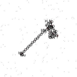 CC[C@@]1(O)C(=O)OCc2c1cc1n(c2=O)Cc2c-1nc1cc(F)c(C)c3c1c2[C@@H](NC(=O)OCc1ccc(NC(=O)[C@H](CCCNC(N)=O)NC(=O)[C@@H](NC(=O)[C@H](CCCCNC(=O)CCOCCOCCOCCOCCOCCOCCOCCOCCOCCOCCOCCOCCNC(=O)OC(C)(C)C)NC(=O)OCC2c4ccccc4-c4ccccc42)C(C)C)cc1)CC3